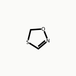 C1=NOCS1